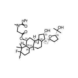 CCCC(=O)N(C)CC(=O)O[C@H]1C[C@@H]2[C@]3(CC[C@]4(C)[C@@H]([C@]5(C)CC[C@@H](C(C)(C)O)O5)[C@@H](O)C[C@@]24C)C[C@@]32CCC(F)(F)C(C)(C)[C@H]12